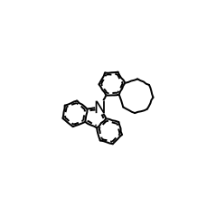 c1cc2c(c(-n3c4ccccc4c4ccccc43)c1)CCCCCC2